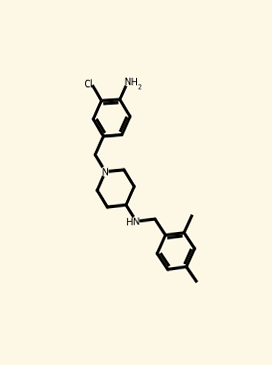 Cc1ccc(CNC2CCN(Cc3ccc(N)c(Cl)c3)CC2)c(C)c1